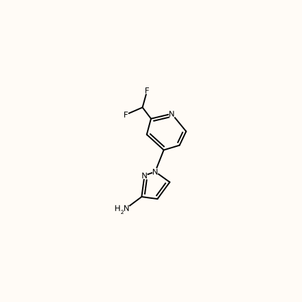 Nc1ccn(-c2ccnc(C(F)F)c2)n1